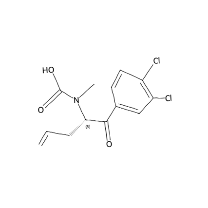 C=CC[C@@H](C(=O)c1ccc(Cl)c(Cl)c1)N(C)C(=O)O